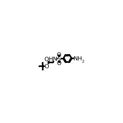 CC(C)(C)OC(=O)CNS(=O)(=O)c1ccc(N)cc1